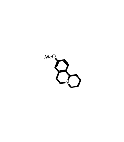 COc1ccc2c(c1)CCN1CCCCC21